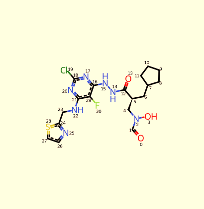 O=CN(O)C[C@H](CC1CCCC1)C(=O)NNc1nc(Cl)nc(NCc2nccs2)c1F